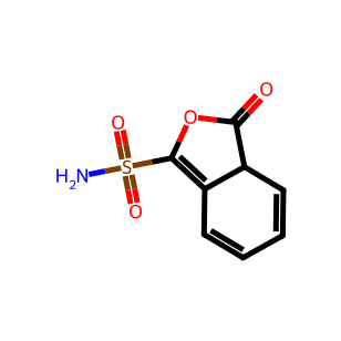 NS(=O)(=O)C1=C2C=CC=CC2C(=O)O1